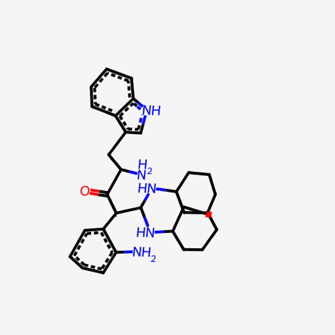 Nc1ccccc1[C]([C](NC1CCCCC1)NC1CCCCC1)C(=O)C(N)Cc1c[nH]c2ccccc12